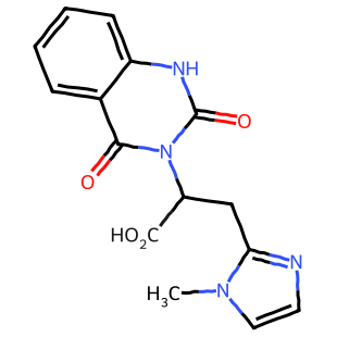 Cn1ccnc1CC(C(=O)O)n1c(=O)[nH]c2ccccc2c1=O